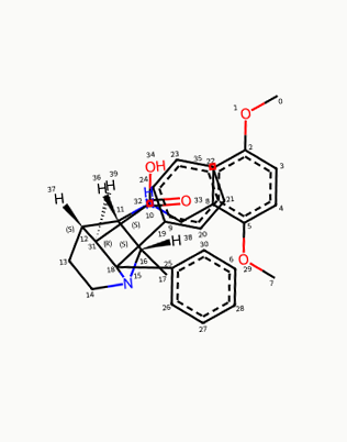 COc1ccc(OC)c(CN[C@H]2[C@H]3CCN([C@H]2C)C(c2ccccc2)(c2ccccc2)[C@@H]3C(=O)O)c1